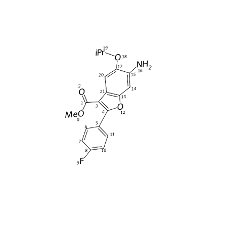 COC(=O)c1c(-c2ccc(F)cc2)oc2cc(N)c(OC(C)C)cc12